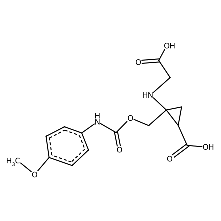 COc1ccc(NC(=O)OCC2(NCC(=O)O)CC2C(=O)O)cc1